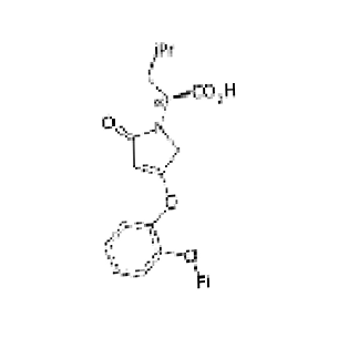 CCOc1ccccc1OC1=CC(=O)N([C@@H](CC(C)C)C(=O)O)C1